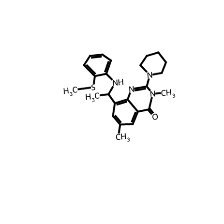 CSc1ccccc1NC(C)c1cc(C)cc2c(=O)n(C)c(N3CCCCC3)nc12